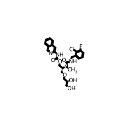 CN(C(=O)NCc1cccc(F)c1Cl)[C@@H](COC[C@@H](O)CO)COC(=O)Nc1cc2ccccc2cn1